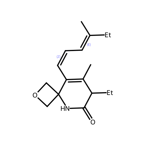 CC/C(C)=C/C=C\C1=C(C)C(CC)C(=O)NC12COC2